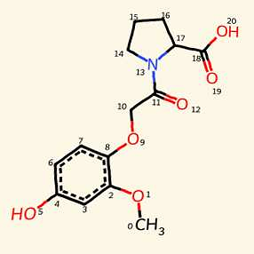 COc1cc(O)ccc1OCC(=O)N1CCCC1C(=O)O